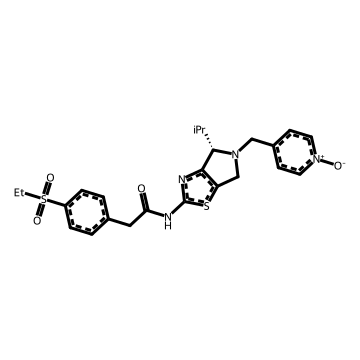 CCS(=O)(=O)c1ccc(CC(=O)Nc2nc3c(s2)CN(Cc2cc[n+]([O-])cc2)[C@H]3C(C)C)cc1